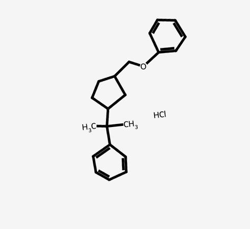 CC(C)(c1ccccc1)C1CCC(COc2ccccc2)C1.Cl